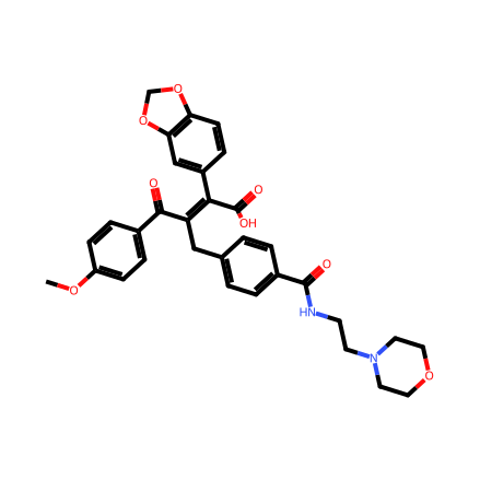 COc1ccc(C(=O)C(Cc2ccc(C(=O)NCCN3CCOCC3)cc2)=C(C(=O)O)c2ccc3c(c2)OCO3)cc1